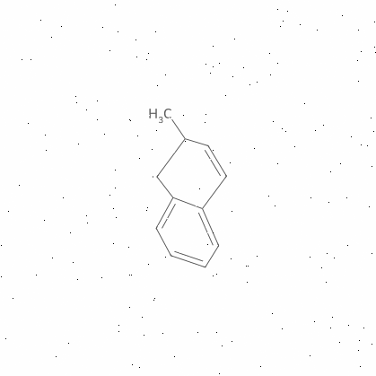 CC1[CH]c2ccccc2C=C1